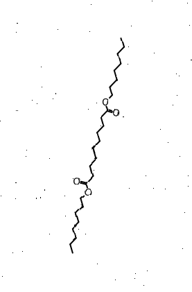 CCCCCCCCOC(=O)CCCCCCCCC(=O)OCCCCCCCC